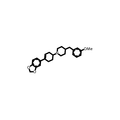 COc1cccc(CC2CCN(C3CC=C(c4ccc5c(c4)OCO5)CC3)CC2)c1